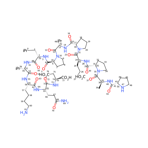 CC(C)C[C@H](NC(=O)[C@@H]1CCCN1C(=O)[C@@H](NC(=O)[C@@H]1CCCN1C(=O)[C@H](CCC(=O)O)NC(=O)[C@@H]1CCCN1C(=O)[C@H](C)NC(=O)[C@@H]1CCCN1)C(C)C)C(=O)N[C@H](C(=O)N[C@@H](CCCCN)C(=O)N[C@@H](CCC(N)=O)C(=O)N[C@@H](CC(=O)O)C(=O)O)C(C)C